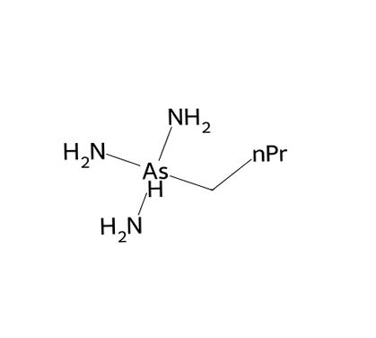 CCCC[AsH](N)(N)N